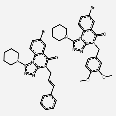 COc1ccc(Cn2c(=O)c3cc(Br)ccc3n3c(N4CCCCC4)nnc23)cc1OC.O=c1c2cc(Br)ccc2n2c(N3CCCCC3)nnc2n1CC=Cc1ccccc1